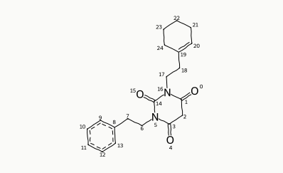 O=C1CC(=O)N(CCc2ccccc2)C(=O)N1CCC1=CCCCC1